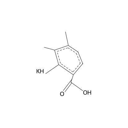 Cc1ccc(C(=O)O)c(C)c1C.[KH]